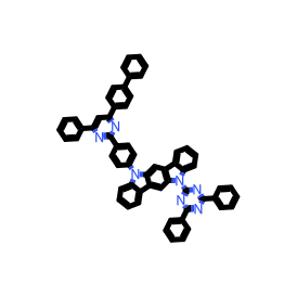 c1ccc(-c2ccc(-c3cc(-c4ccccc4)nc(-c4ccc(-n5c6ccccc6c6cc7c(cc65)c5ccccc5n7-c5nc(-c6ccccc6)nc(-c6ccccc6)n5)cc4)n3)cc2)cc1